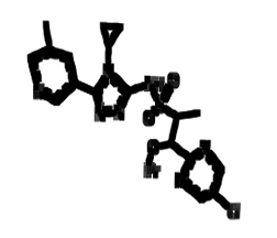 Cc1cncc(-c2nnc(NS(=O)(=O)C(C)C(OC(C)C)c3ncc(Cl)cn3)n2C2CC2)c1